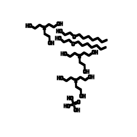 CCCCCCCOCCO.CCCCCCCOCCO.O=P(O)(O)O.OCCN(CCO)CCO.OCCN(CCO)CCO.OCCN(CCO)CCO